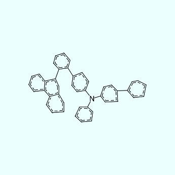 c1ccc(-c2ccc(N(c3ccccc3)c3ccc(-c4ccccc4-c4cc5ccccc5c5ccccc45)cc3)cc2)cc1